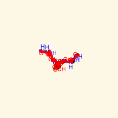 C=C(C)C(=O)NCCCNC(=O)C(CC)NC(=O)COCC(=O)N1CCN(S(=O)(=O)c2cc(S(=O)(=O)N3CCN(C(=O)COCC(=O)NC(CC)C(=O)NCCCNC(=O)C(=C)C)CC3)c3ccc4c(S(C)(=O)=O)cc(O)c5ccc2c3c54)CC1